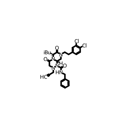 C#CCN1CC(=O)N2[C@@H](C(C)CC)C(=O)N(CCc3ccc(Cl)c(Cl)c3)C[C@@H]2N1C(=O)NCc1ccccc1